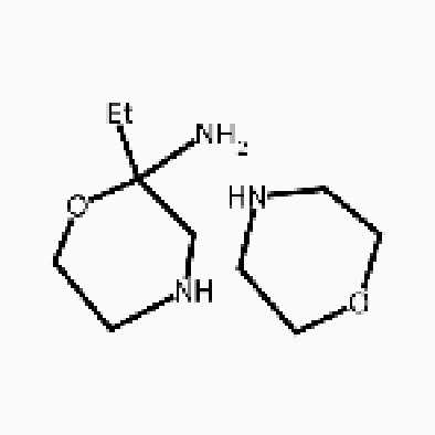 C1COCCN1.CCC1(N)CNCCO1